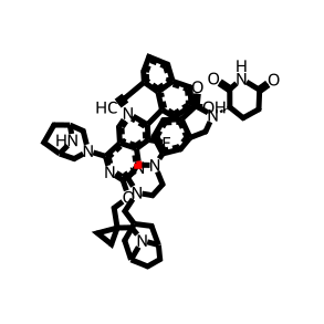 C#Cc1cccc2cc(O)cc(-c3ncc4c(N5CC6CCC(C5)N6)nc(OCC5(CN6C7CCC6CC(CN6CCN(c8ccc9c(c8)CN([C@H]8CCC(=O)NC8=O)C9=O)CC6)C7)CC5)nc4c3F)c12